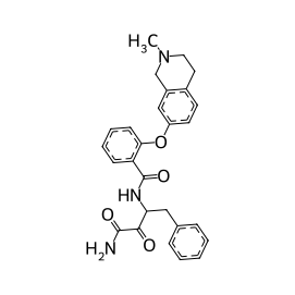 CN1CCc2ccc(Oc3ccccc3C(=O)NC(Cc3ccccc3)C(=O)C(N)=O)cc2C1